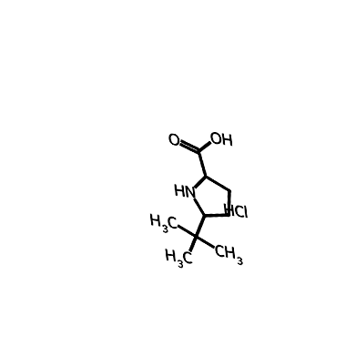 CC(C)(C)C1CCC(C(=O)O)N1.Cl